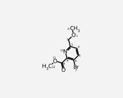 COCc1ccc(Br)c(C(=O)OC)n1